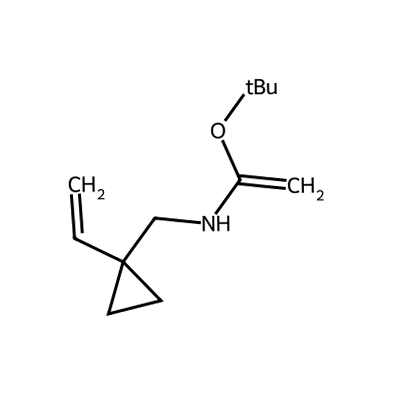 C=CC1(CNC(=C)OC(C)(C)C)CC1